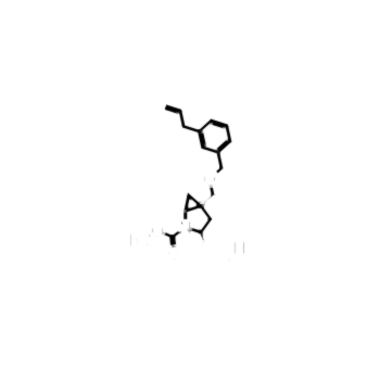 C=CCc1cccc(COC[C@]23CC2N(C(=O)OC(C)(C)C)[C@H](C(=O)O)C3)c1